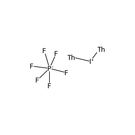 F[P-](F)(F)(F)(F)F.[Th][I+][Th]